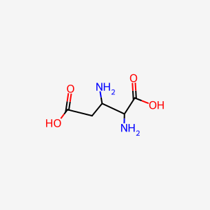 NC(CC(=O)O)C(N)C(=O)O